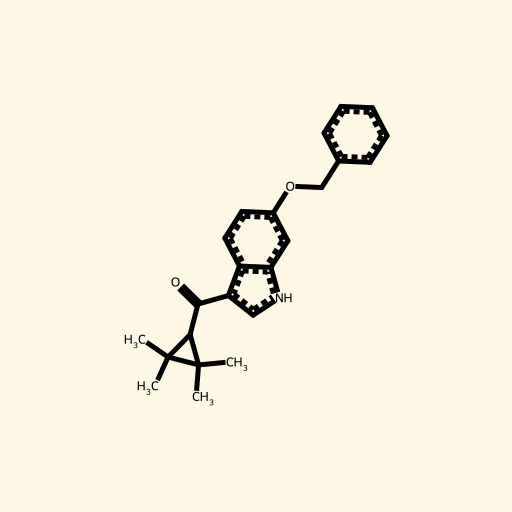 CC1(C)C(C(=O)c2c[nH]c3cc(OCc4ccccc4)ccc23)C1(C)C